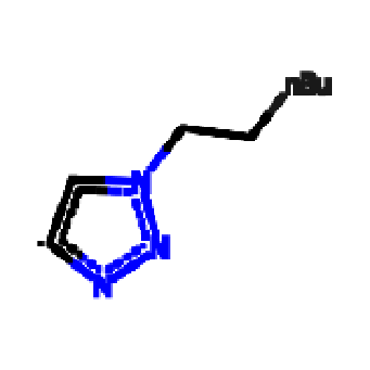 CCCCCCn1c[c]nn1